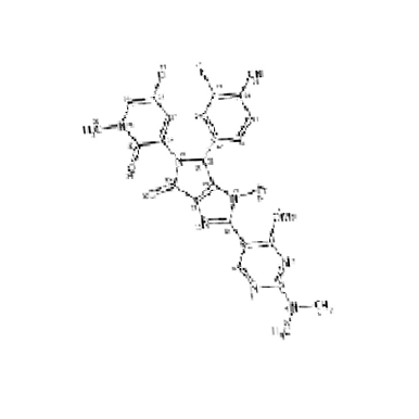 COc1nc(N(C)C)ncc1-c1nc2c(n1C(C)C)[C@@H](c1ccc(C#N)c(F)c1)N(c1cc(Cl)cn(C)c1=O)C2=O